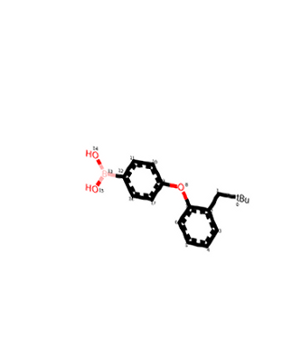 CC(C)(C)Cc1ccccc1Oc1ccc(B(O)O)cc1